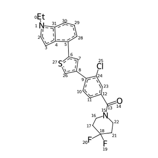 CCn1ccc2c(-c3cc(-c4ccc(C(=O)N5CCC(F)(F)CC5)cc4Cl)cs3)cccc21